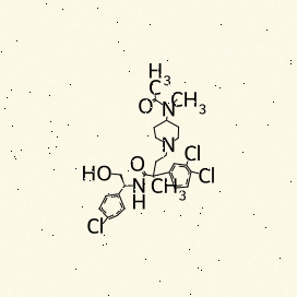 CC(=O)N(C)C1CCN(CCC(C)(C(=O)N[C@H](CO)c2ccc(Cl)cc2)c2ccc(Cl)c(Cl)c2)CC1